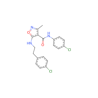 Cc1noc(NCCc2ccc(Cl)cc2)c1C(=O)Nc1ccc(Cl)cc1